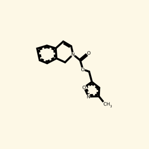 Cc1cc(COC(=O)N2C=Cc3ccccc3C2)on1